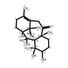 CC1=C2CC(=O)[C@]3(C)CCC(O)[C@](C)(O)[C@@]3(O)C(O)(O)[C@](O)(CC1)C2(C)C